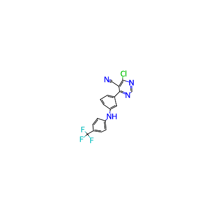 N#Cc1c(Cl)ncnc1-c1cccc(Nc2ccc(C(F)(F)F)cc2)c1